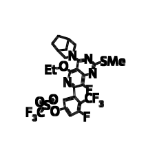 CCOc1nc(-c2cc(OS(=O)(=O)C(F)(F)F)cc(F)c2C(F)(F)F)c(F)c2nc(SC)nc(N3CC4CCC(C4)C3)c12